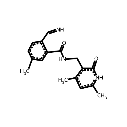 Cc1ccc(C=N)c(C(=O)NCc2c(C)cc(C)[nH]c2=O)c1